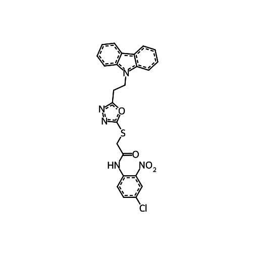 O=C(CSc1nnc(CCn2c3ccccc3c3ccccc32)o1)Nc1ccc(Cl)cc1[N+](=O)[O-]